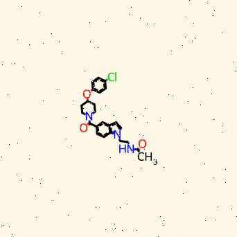 CC(=O)NCCn1ccc2cc(C(=O)N3CCC(Oc4ccc(Cl)cc4)CC3)ccc21